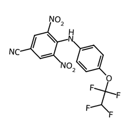 N#Cc1cc([N+](=O)[O-])c(Nc2ccc(OC(F)(F)C(F)F)cc2)c([N+](=O)[O-])c1